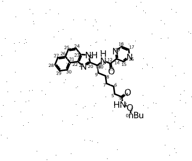 CCCCONC(=O)CCCCC[C@H](NC(=O)c1cnccn1)c1nc2c(ccc3ccccc32)[nH]1